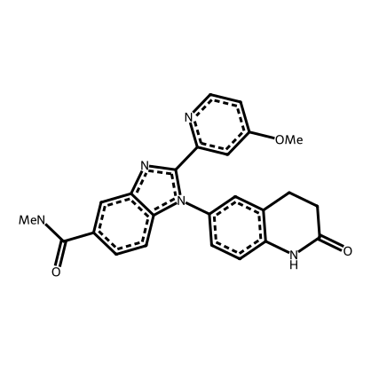 CNC(=O)c1ccc2c(c1)nc(-c1cc(OC)ccn1)n2-c1ccc2c(c1)CCC(=O)N2